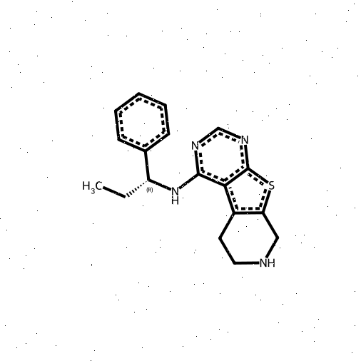 CC[C@@H](Nc1ncnc2sc3c(c12)CCNC3)c1ccccc1